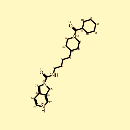 O=C(NCCCCC1CCN(C(=O)C2CCCCC2)CC1)N1C=C2C=CNC=C2C1